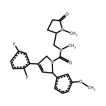 COc1cccc(C2C=C(c3cc(F)ccc3F)CN2C(=O)N(C)CC2CCC(=O)N2C)c1